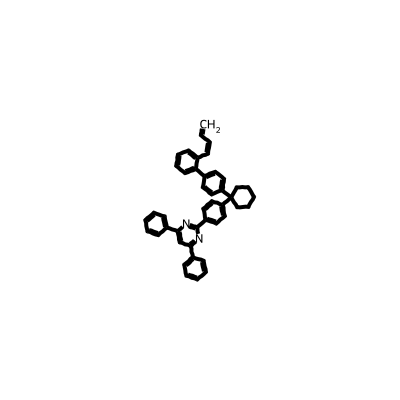 C=C/C=C\c1ccccc1-c1ccc(C2(c3ccc(-c4nc(-c5ccccc5)cc(-c5ccccc5)n4)cc3)CCCCC2)cc1